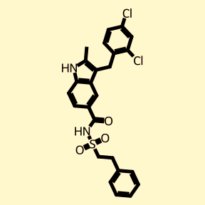 Cc1[nH]c2ccc(C(=O)NS(=O)(=O)CCc3ccccc3)cc2c1Cc1ccc(Cl)cc1Cl